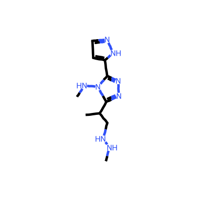 CNNCC(C)c1nnc(-c2ccn[nH]2)n1NC